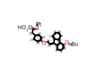 CCCCOc1cccc2c1-c1ccccc1C2=CCOc1ccc(CC(OCC)C(=O)O)cc1